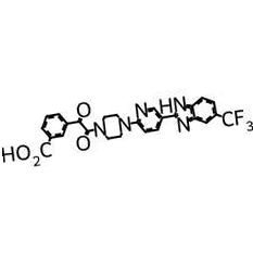 O=C(O)c1cccc(C(=O)C(=O)N2CCN(c3ccc(-c4nc5cc(C(F)(F)F)ccc5[nH]4)cn3)CC2)c1